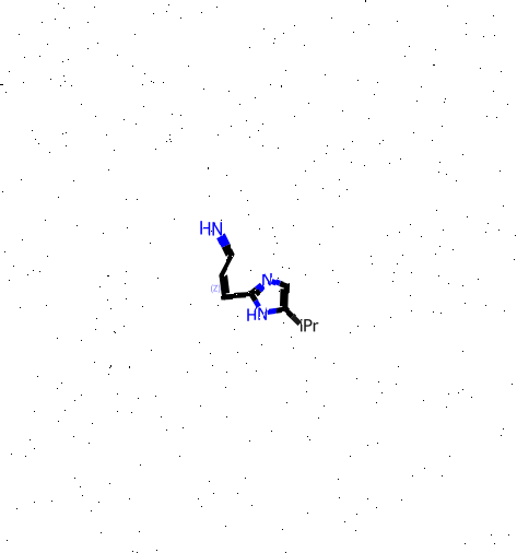 CC(C)c1cnc(/C=C\C=N)[nH]1